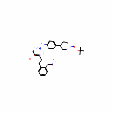 COc1cnc(Nc2ccc(C3CCN(C(=O)OC(C)(C)C)CC3)cc2)nc1CCc1ccccc1CC(N)=O